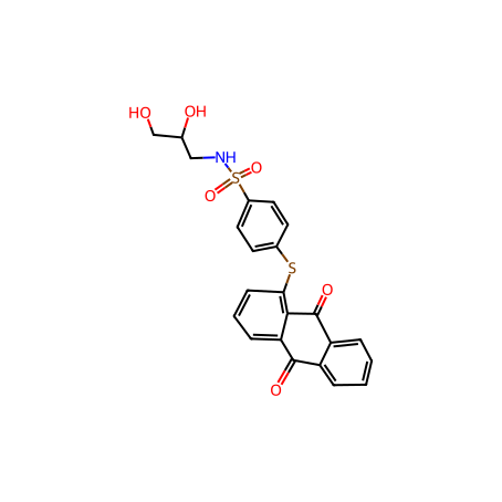 O=C1c2ccccc2C(=O)c2c(Sc3ccc(S(=O)(=O)NCC(O)CO)cc3)cccc21